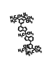 CC(C)(C)c1cc(-c2cccc3c2C=CC3C(C)(C)C2C=Cc3c(-c4cc(C(C)(C)C)cc(C(C)(C)C)c4)cccc32)cc(C(C)(C)C)c1